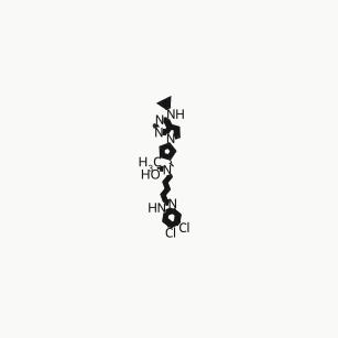 CC(O)N(CCCCc1nc2cc(Cl)c(Cl)cc2[nH]1)C[C@@H]1CC[C@H](n2ccc3c(NC4CC4)ncnc32)C1